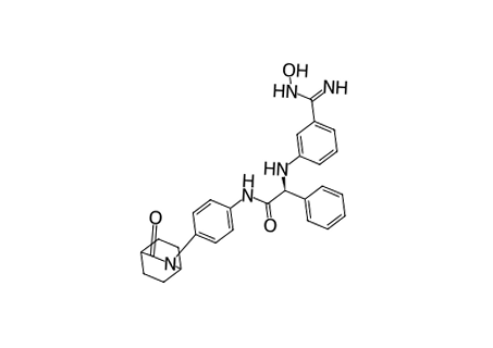 N=C(NO)c1cccc(N[C@H](C(=O)Nc2ccc(N3C(=O)C4CCC3CC4)cc2)c2ccccc2)c1